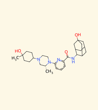 C[C@@H]1CN(C2CCC(C)(O)CC2)CCN1c1cccc(C(=O)NC2C3CC4CC2CC(O)(C4)C3)n1